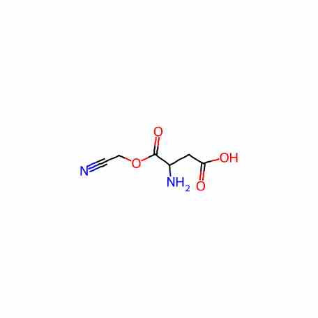 N#CCOC(=O)C(N)CC(=O)O